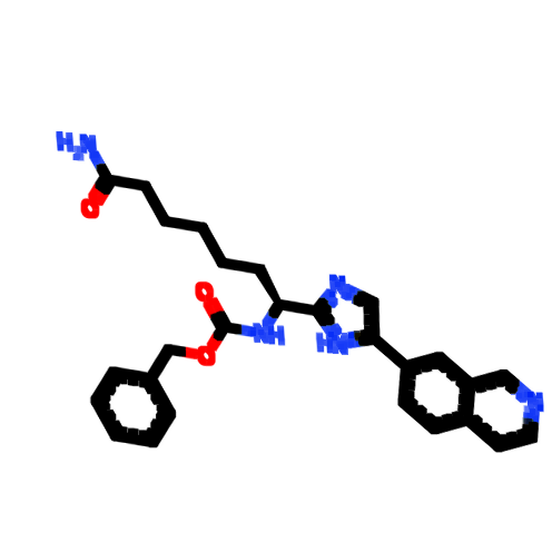 NC(=O)CCCCC[C@H](NC(=O)OCc1ccccc1)c1ncc(-c2ccc3ccncc3c2)[nH]1